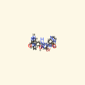 COc1cc(N2[C@@H]3CC[C@H]2COC3)c(-c2cnn(C)c2)cc1Nc1ncc(Br)c(Nc2ccc3nccnc3c2P(C)(C)=O)n1